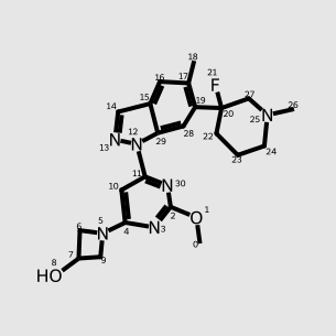 COc1nc(N2CC(O)C2)cc(-n2ncc3cc(C)c(C4(F)CCCN(C)C4)cc32)n1